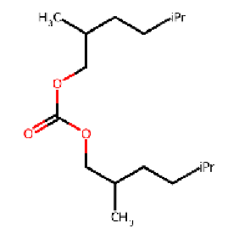 CC(C)CCC(C)COC(=O)OCC(C)CCC(C)C